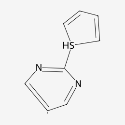 [c]1cnc([SH]2C=CC=C2)nc1